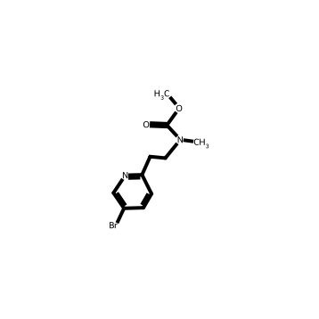 COC(=O)N(C)CCc1ccc(Br)cn1